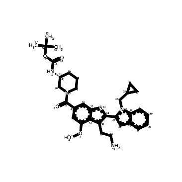 COc1cc(C(=O)N2CCC[C@@H](NC(=O)OC(C)(C)C)C2)cc2sc(-c3cc4ccccc4n3CC3CC3)c(CCN)c12